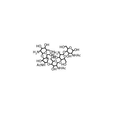 CC(=O)NC1C(O)OC(CO)C(OC2OC(CO)C(OC3OC(CO)C(OC4OC(CO)C(OC5OC(CO)C(O)C(O)C5N)C(O)C4NC(C)=O)C(O)C3NC(C)=O)C(O)C2N)C1O